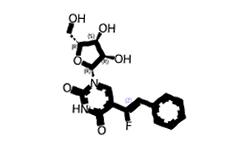 O=c1[nH]c(=O)n([C@@H]2O[C@H](CO)[C@@H](O)[C@H]2O)cc1/C(F)=C/c1ccccc1